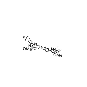 COc1nc(N(C)[C@H]2C[C@@H](NCc3ccc(-c4cc(OC)c(OC(F)F)nn4)cc3)C[C@H]2O)c2cc(CC(F)(F)F)sc2n1